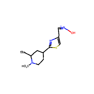 CC(C)(C)C1CC(c2nc(/C=N\O)cs2)CCN1C(=O)O